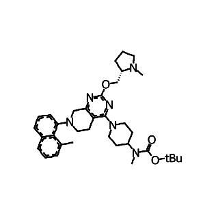 Cc1cccc2cccc(N3CCc4c(nc(OC[C@@H]5CCCN5C)nc4N4CCC(N(C)C(=O)OC(C)(C)C)CC4)C3)c12